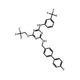 Fc1ccc(-c2ccc(CNc3nc(Nc4cccc(C(F)(F)F)c4)nc(OCC(F)(F)F)n3)cc2)cc1